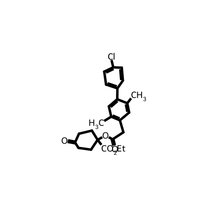 CCOC(=O)C1(OC(=O)Cc2cc(C)c(-c3ccc(Cl)cc3)cc2C)CCC(=O)CC1